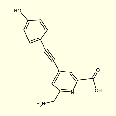 NCc1cc(C#Cc2ccc(O)cc2)cc(C(=O)O)n1